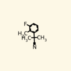 Cc1c(F)cccc1C(C)(C)C#N